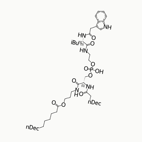 CCCCCCCCCCCCCCCC(=O)OCCCNC(=O)[C@H](COP(=O)(O)OCCNC(=O)[C@@H](NC(=O)Cc1c[nH]c2ccccc12)[C@@H](C)CC)NC(=O)CCCCCCCCCCC